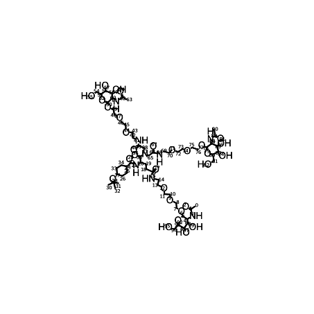 CC(=O)NC1C(OCCOCCOCCNC(=O)CCC(NC(=O)C2CCC(OC(C)(C)C)CC2)C(=O)N(CC(=O)NCCOCCOCCOC2OC(CO)C(O)C(O)C2NC(C)=O)CC(=O)NCCOCCOCCOC2OC(CO)C(O)C(O)C2NC(C)=O)OC(CO)C(O)C1O